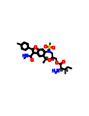 CC[C@H](C)[C@H](N)C(=O)OC[C@@H]1CN(S(C)(=O)=O)c2cc3oc(-c4ccc(C)cc4)c(C(=O)NC)c3cc2[C@H](C)O1